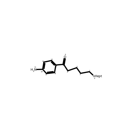 CCCCCCCCCCCC(=O)c1ccc(N)cc1